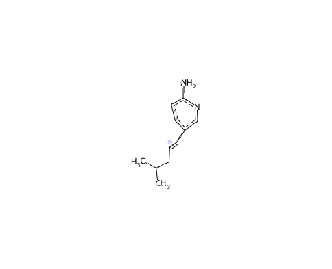 CC(C)C/C=C/c1ccc(N)nc1